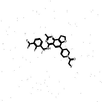 Cc1nc(N[C@H](C)c2cccc(C(F)F)c2F)c2cc(C3=CCN(C(=O)CF)CC3)c3c(c2n1)CCO3